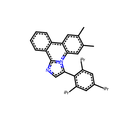 Cc1cc2c3ccccc3c3ncc(-c4c(C(C)C)cc(C(C)C)cc4C(C)C)n3c2cc1C